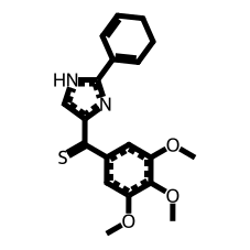 COc1cc(C(=S)c2c[nH]c(C3=CCCC=C3)n2)cc(OC)c1OC